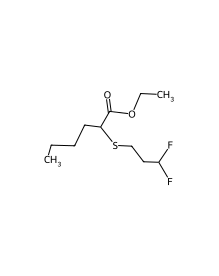 CCCCC(SCCC(F)F)C(=O)OCC